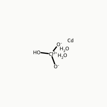 O.O.[Cd].[O-][Cl+2]([O-])O